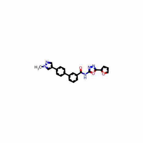 Cn1cc(-c2ccc(-c3cccc(C(=O)Nc4nnc(-c5ccco5)o4)c3)cc2)cn1